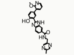 COc1ncccc1-c1ccc(O)c(-c2nc3ccc(C(=O)NCc4cnc(C)cn4)cc3[nH]2)c1